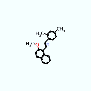 COc1ccc2ccccc2c1/C=C/c1ccc(C)cc1C